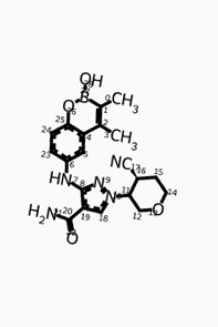 CC1=C(C)c2cc(Nc3nn(C4COCC[C@@H]4C#N)cc3C(N)=O)ccc2OB1O